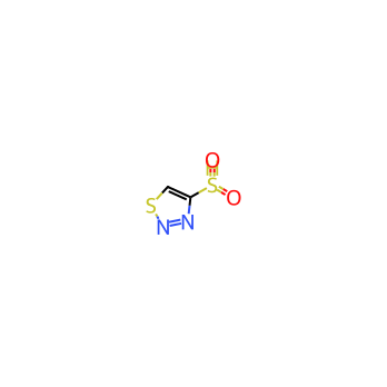 O=[SH](=O)c1csnn1